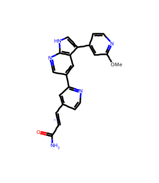 COc1cc(-c2c[nH]c3ncc(-c4cc(/C=C/C(N)=O)ccn4)cc23)ccn1